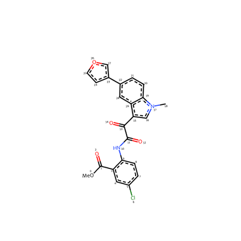 COC(=O)c1cc(Cl)ccc1NC(=O)C(=O)c1cn(C)c2ccc(-c3ccoc3)cc12